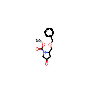 CC(C)(C)OC(=O)N1CC(=O)CC1COCc1ccccc1